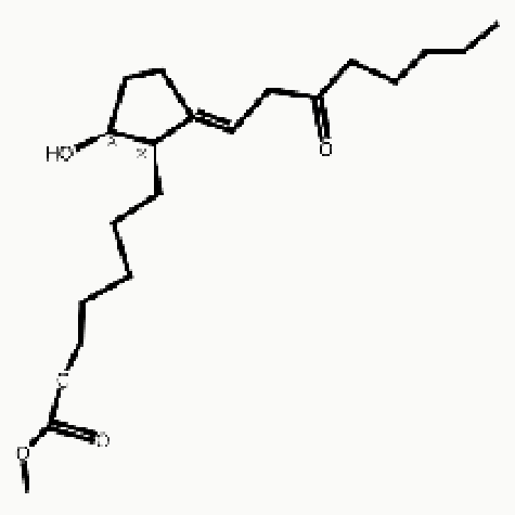 CCCCCC(=O)CC=C1CC[C@H](O)[C@@H]1CCCCCCC(=O)OC